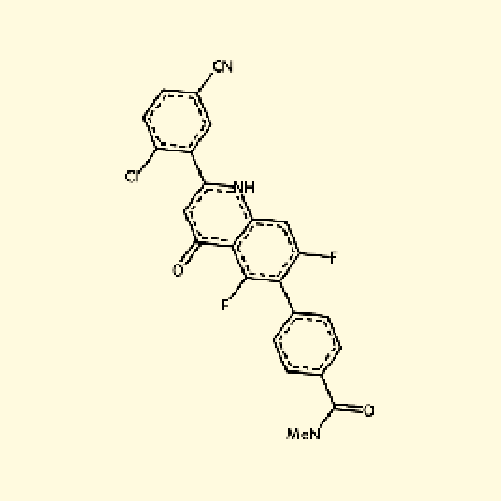 CNC(=O)c1ccc(-c2c(F)cc3[nH]c(-c4cc(C#N)ccc4Cl)cc(=O)c3c2F)cc1